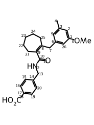 COc1cc(C)cc(CC2=C(C(=O)NCc3ccc(C(=O)O)cc3)CCCCC2)c1